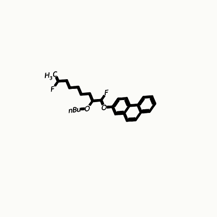 CCCCOC(CCCCCC(C)F)C(F)Oc1ccc2c(ccc3ccccc32)c1